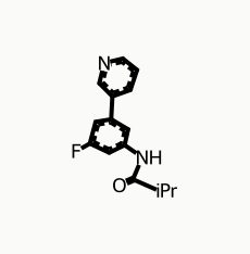 CC(C)C(=O)Nc1cc(F)cc(-c2cccnc2)c1